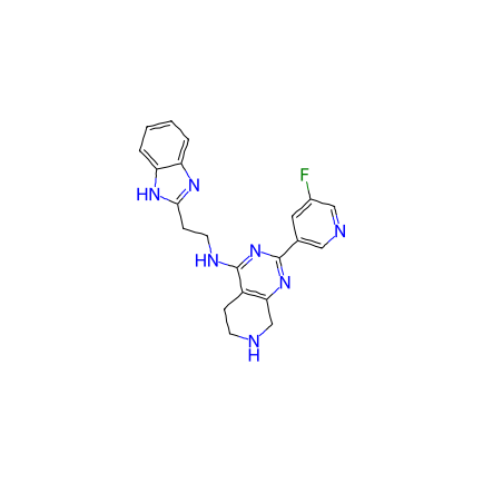 Fc1cncc(-c2nc3c(c(NCCc4nc5ccccc5[nH]4)n2)CCNC3)c1